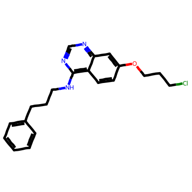 ClCCCOc1ccc2c(NCCCc3ccccc3)ncnc2c1